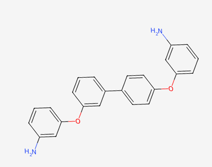 Nc1cccc(Oc2ccc(-c3cccc(Oc4cccc(N)c4)c3)cc2)c1